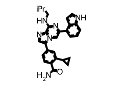 CC(C)CNc1nc(-c2cccc3[nH]ccc23)cn2c(-c3ccc(C(N)=O)c(C4CC4)c3)cnc12